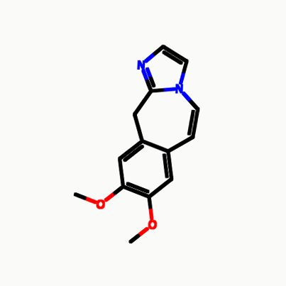 COc1cc2c(cc1OC)Cc1nccn1C=C2